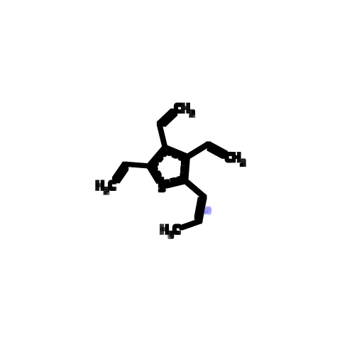 C=Cc1sc(/C=C\C)c(C=C)c1C=C